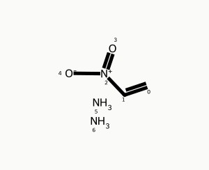 C=C[N+](=O)[O-].N.N